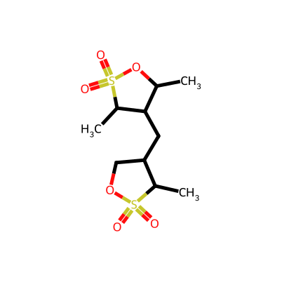 CC1OS(=O)(=O)C(C)C1CC1COS(=O)(=O)C1C